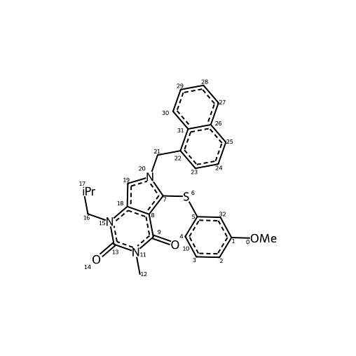 COc1cccc(Sc2c3c(=O)n(C)c(=O)n(CC(C)C)c3cn2Cc2cccc3ccccc23)c1